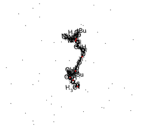 Cc1ncsc1-c1ccc(CNC(=O)[C@@H]2C[C@@H](O)CN2C(=O)[C@@H](NC(=O)COCCCOCCCCCOc2cccc(CNC(=O)c3cccc(NC4(c5nnc(-c6ccncc6)[nH]5)CCN(C(=O)OC(C)(C)C)CC4)c3)c2)C(C)(C)C)cc1